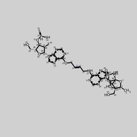 C[C@@H]1O[C@H]2[C@H](n3cnc4c(NC/C=C/COc5ncnc6c5ncn6[C@@H]5O[C@H](CO)[C@@H](O[PH](=S)S)[C@H]5F)ncnc43)O[C@]1(CO)[C@H]2O[PH](=O)S